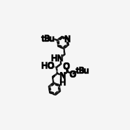 CC(C)(C)OC(=O)N[C@@H](Cc1ccccc1)[C@H](O)CNCc1cncc(C(C)(C)C)c1